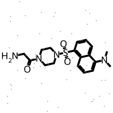 CN(C)c1cccc2c(S(=O)(=O)N3CCN(C(=O)CN)CC3)cccc12